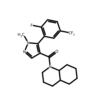 Cn1ncc(C(=O)N2CCCC3CCCCC32)c1-c1cc(C(F)(F)F)ccc1F